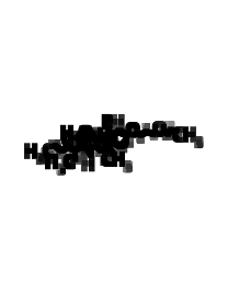 B=Cc1cc(OCCCOCCC)ccc1C(CC)(CCNC)CCNC(=C)/C(CC)=C(\C)CCC